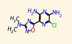 CN(C)c1noc(-c2nc(Cl)c(N)nc2N)n1